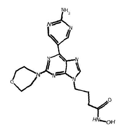 Nc1ncc(-c2nc(N3CCOCC3)nc3c2ncn3CCCC(=O)NO)cn1